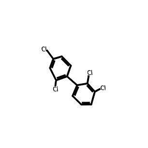 Clc1ccc(-c2cccc(Cl)c2Cl)c(Cl)c1